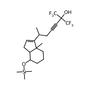 CC(CC#CC(O)(C(F)(F)F)C(F)(F)F)C1=CCC2C(O[Si](C)(C)C)CCCC12C